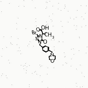 CC(C(=O)O)n1c(Br)nn(Cc2ccc(CN3CCOCC3)cc2)c1=O